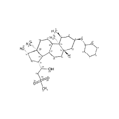 C[C@H]1C[C@@H](OC2CCCCO2)C[C@@H]2CCC3C(CC[C@@]4(C)C3[C@H](C(O)CS(C)(=O)=O)C[C@@H]4O)[C@]21C